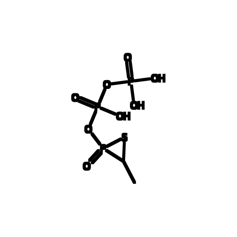 CC1SP1(=O)OP(=O)(O)OP(=O)(O)O